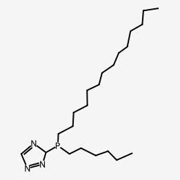 CCCCCCCCCCCCCCP(CCCCCC)C1N=CN=N1